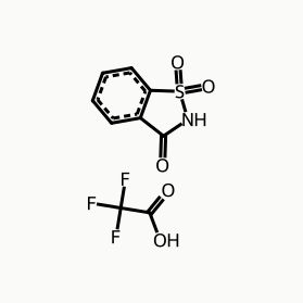 O=C(O)C(F)(F)F.O=C1NS(=O)(=O)c2ccccc21